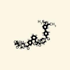 Cc1nn(C)c2ccc(-c3ccc(C(=O)N4CCN(C(=O)C5(N)COC5c5cc[c]cc5-c5ccc(C(=O)N6CCN(C(=O)C7(O)COC7)CC6)cc5)CC4)cc3)cc12